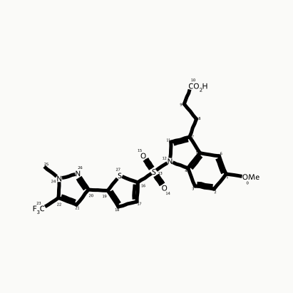 COc1ccc2c(c1)c(CCC(=O)O)cn2S(=O)(=O)c1ccc(-c2cc(C(F)(F)F)n(C)n2)s1